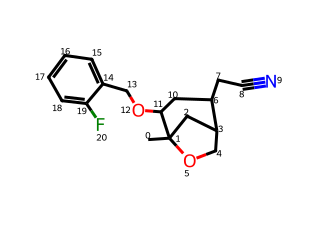 CC12CC(CO1)C(CC#N)CC2OCc1ccccc1F